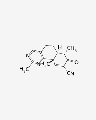 Cc1ncc2c(n1)[C@@]1(C)C=C(C#N)C(=O)[C@@H](C)[C@@H]1CC2